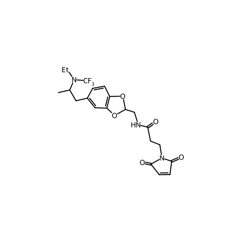 CCN(C(C)Cc1ccc2c(c1)OC(CNC(=O)CCN1C(=O)C=CC1=O)O2)C(F)(F)F